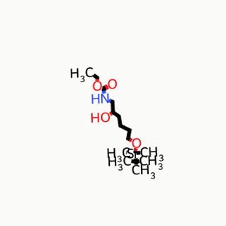 CCOC(=O)NCC(O)CCCCO[Si](C)(C)C(C)(C)C